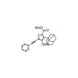 COC(=O)c1sc(C#Cc2ccccc2)c(OC)c1C12CC3CC(CC(C3)C1)C2